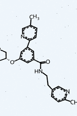 Cc1ccc(-c2cc(O[C@@H]3CCOC3)cc(C(=O)NCCc3ccc(C)nc3)c2)nc1